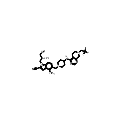 Cc1c(CN2CCC(Nc3ncnc4c3CCN(CC(F)(F)F)C4)CC2)ccc2c1cc(C#N)n2C[C@H](O)CO